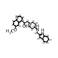 COc1ccc2nccc(C(O)CN3CCC(NCc4cc5ccccc5[nH]4)CC3)c2c1